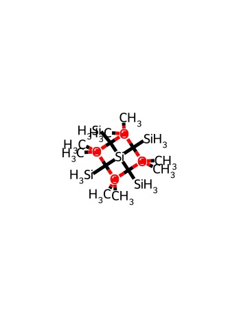 COC([SiH3])(OC)[Si](C([SiH3])(OC)OC)(C([SiH3])(OC)OC)C([SiH3])(OC)OC